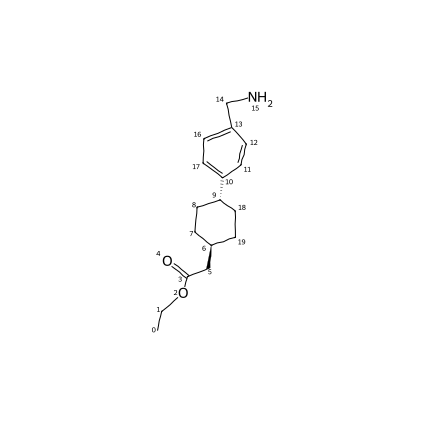 CCOC(=O)C[C@H]1CC[C@H](c2ccc(CN)cc2)CC1